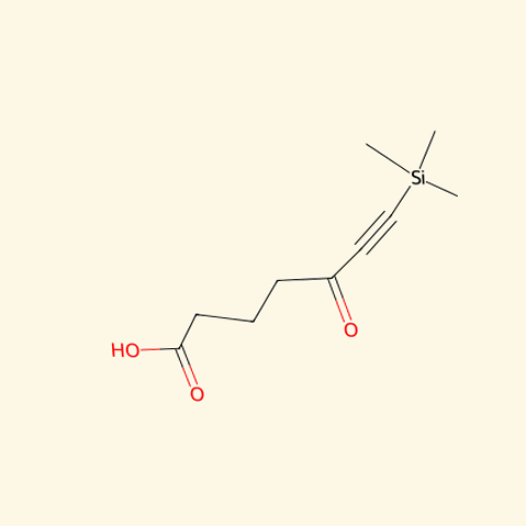 C[Si](C)(C)C#CC(=O)CCCC(=O)O